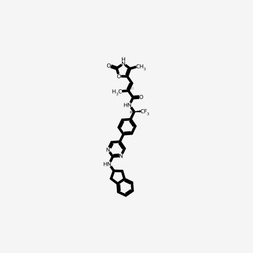 C/C(=C\c1oc(=O)[nH]c1C)C(=O)N[C@H](c1ccc(-c2cnc(NC3Cc4ccccc4C3)nc2)cc1)C(F)(F)F